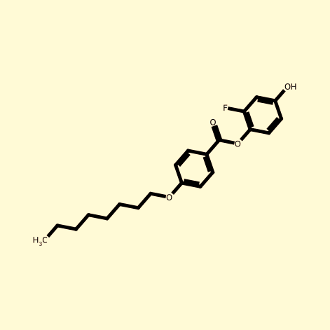 CCCCCCCCOc1ccc(C(=O)Oc2ccc(O)cc2F)cc1